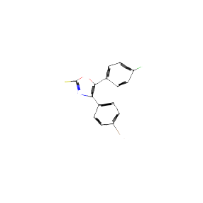 Sc1nc(-c2ccc(Br)cc2)c(-c2ccc(Cl)cc2)o1